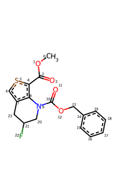 COC(=O)c1scc2c1N(C(=O)OCc1ccccc1)CC(F)C2